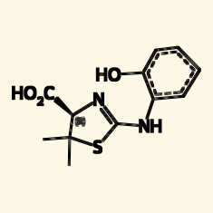 CC1(C)SC(Nc2ccccc2O)=N[C@@H]1C(=O)O